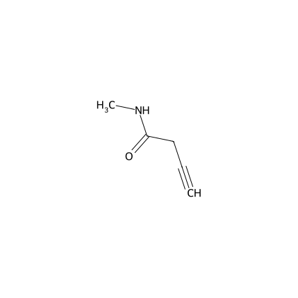 C#CCC(=O)NC